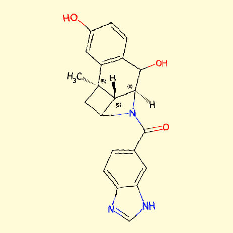 C[C@@]12CC3[C@H]1[C@@H](C(O)c1ccc(O)cc12)N3C(=O)c1ccc2nc[nH]c2c1